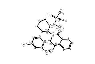 C[C@@H]1c2ccccc2C(=O)N([C@H]2CCCC[C@@H]2N(C)S(C)(=O)=O)[C@H]1c1ccc(Cl)cc1Cl